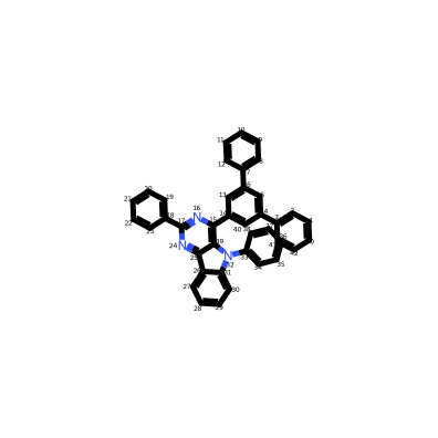 c1ccc(-c2cc(-c3ccccc3)cc(-c3nc(-c4ccccc4)nc4c5ccccc5n(-c5ccccc5)c34)c2)cc1